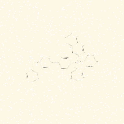 Brc1ccc2sc3ccc(-c4ccc5c(c4)-c4c(ccc6ccccc46)C54c5ccccc5-c5ccccc54)cc3c2c1